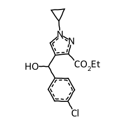 CCOC(=O)c1nn(C2CC2)cc1C(O)c1ccc(Cl)cc1